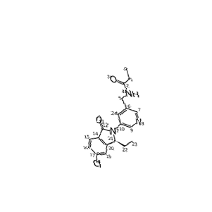 CCC(=O)NCc1cncc(N2C(=O)c3ccc(Cl)cc3[C@@H]2CC)c1